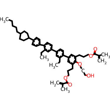 C=C(C)C(=O)OCCCc1cc(-c2ccc(-c3ccc(-c4ccc(C5CCC(CCCCC)CC5)cc4)c(CC)c3)cc2CC)cc(CCCOC(=O)C(=C)C)c1OCCCO